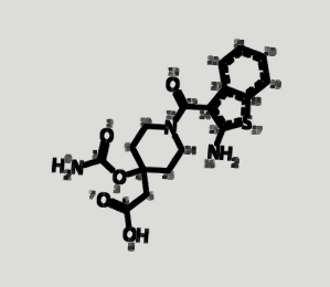 NC(=O)OC1(CC(=O)O)CCN(C(=O)c2c(N)sc3ccccc23)CC1